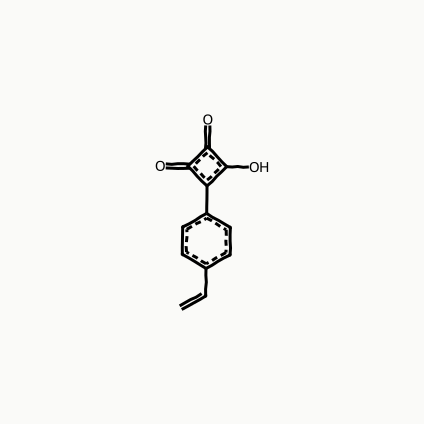 C=Cc1ccc(-c2c(O)c(=O)c2=O)cc1